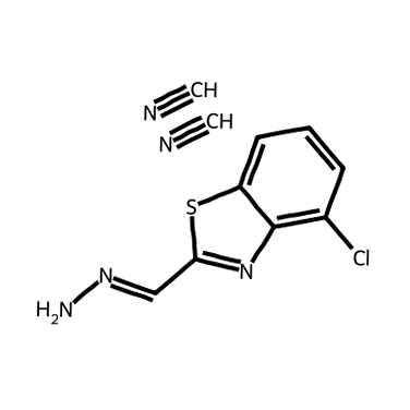 C#N.C#N.NN=Cc1nc2c(Cl)cccc2s1